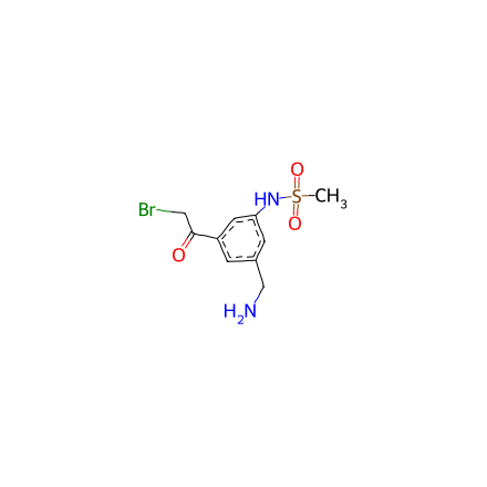 CS(=O)(=O)Nc1cc(CN)cc(C(=O)CBr)c1